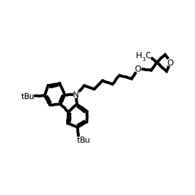 CC1(COCCCCCCn2c3ccc(C(C)(C)C)cc3c3cc(C(C)(C)C)ccc32)COC1